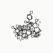 CC(=O)O[C@H]1[C@H]2[C@@H]([C@@H](OS(=O)(=O)c3ccc(Cl)cc3)[C@H](NC(=O)C(F)(F)F)C3CC4C[C@@H]4[C@H](O)[C@@]32C)[C@@H]2[C@@H](O)[C@@H]3[C@H]([C@H](C)[C@H]4O[C@]45OC(=O)[C@@](C)(O)[C@]35C)[C@@]2(C(C)=O)[C@H]1O